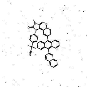 Cn1c(=O)n(-c2ccc(C(C)(C)C#N)cc2)c2c3cc(-c4c5ccccc5c(-c5ccc6ccccc6c5)c5ccccc45)ccc3ncc21